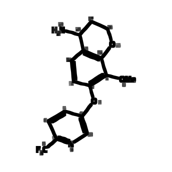 COc1c(Oc2ccc(C(F)(F)F)nc2)ccc2c1OCCC2N